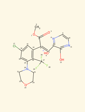 COC(=O)/C(=C(/O)c1nccnc1O)c1cc(Cl)cc(N2CCOCC2)c1C(F)(F)F